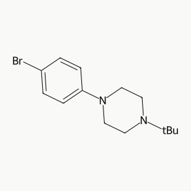 CC(C)(C)N1CCN(c2ccc(Br)cc2)CC1